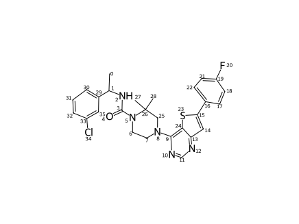 CC(NC(=O)N1CCN(c2ncnc3cc(-c4ccc(F)cc4)sc23)CC1(C)C)c1cccc(Cl)c1